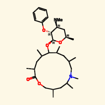 CN[C@H]1C[C@@H](C)O[C@@H](OC2C(C)CC(C)CN(C)C(C)CC(C)COC(=O)C(C)CC2C)[C@@H]1Oc1ccccc1